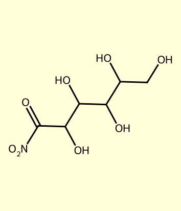 O=C(C(O)C(O)C(O)C(O)CO)[N+](=O)[O-]